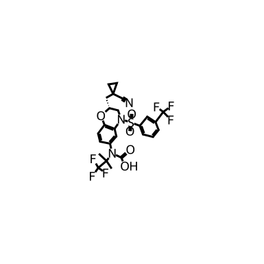 CC(C)(N(C(=O)O)c1ccc2c(c1)N(S(=O)(=O)c1cccc(C(F)(F)F)c1)C[C@@H](CC1(C#N)CC1)O2)C(F)(F)F